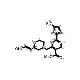 COC(=O)C1=C(CN2CCO[C@H](/C=C/C=O)C2)NC(c2nc(C(F)(F)F)cs2)=NC1